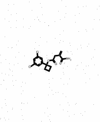 C=C(CC(=O)OC1(c2cc(Cl)cc(Cl)c2)CCC1)C(N)=O